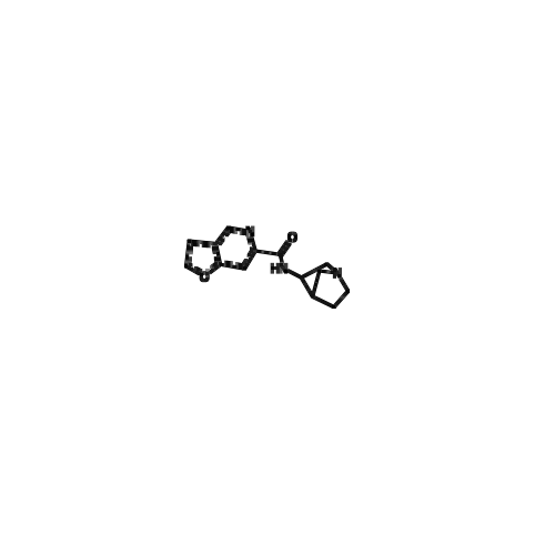 O=C(NC1CN2CCC1C2)c1cc2occc2cn1